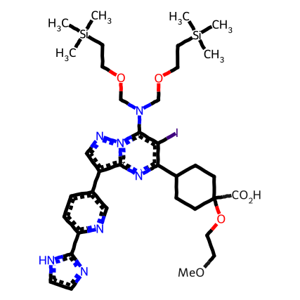 COCCOC1(C(=O)O)CCC(c2nc3c(-c4ccc(-c5ncc[nH]5)nc4)cnn3c(N(COCC[Si](C)(C)C)COCC[Si](C)(C)C)c2I)CC1